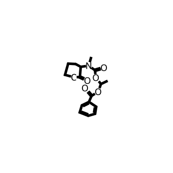 CC(OC(=O)c1ccccc1)OC(=O)N(C)C1CCCCC1=O